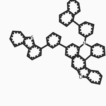 c1cc(-c2cccc(N(c3cccc(-c4cccc5ccccc45)c3)c3ccccc3-c3cccc4oc5ccccc5c34)c2)cc(-c2cccc3c2sc2ccccc23)c1